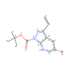 C=Cc1nn(C(=O)OC(C)(C)C)c2ncc(Br)cc12